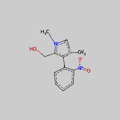 Cc1cn(C)c(CO)c1-c1ccccc1[N+](=O)[O-]